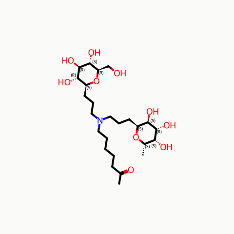 CC(=O)CCCCCN(CCC[C@@H]1O[C@H](CO)[C@@H](O)[C@H](O)[C@H]1O)CCC[C@@H]1O[C@@H](C)[C@@H](O)[C@@H](O)[C@@H]1O